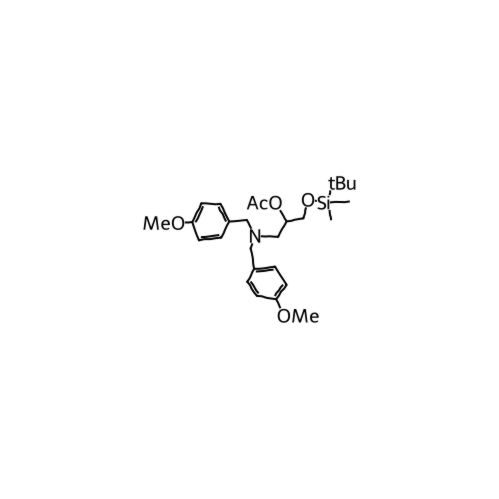 COc1ccc(CN(Cc2ccc(OC)cc2)CC(CO[Si](C)(C)C(C)(C)C)OC(C)=O)cc1